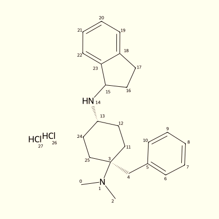 CN(C)[C@]1(Cc2ccccc2)CC[C@@H](NC2CCc3ccccc32)CC1.Cl.Cl